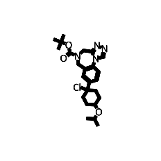 CC(C)OC1CCC(Cl)(c2ccc3c(c2)CN(C(=O)OC(C)(C)C)Cc2nncn2-3)CC1